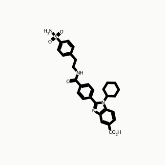 NS(=O)(=O)c1ccc(CCNC(=O)c2ccc(-c3nc4cc(C(=O)O)ccc4n3C3CCCCC3)cc2)cc1